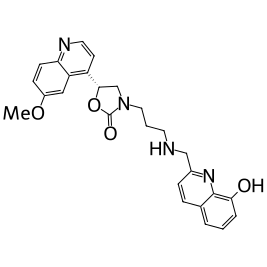 COc1ccc2nccc([C@@H]3CN(CCCNCc4ccc5cccc(O)c5n4)C(=O)O3)c2c1